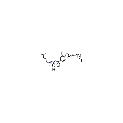 C=CCN(C)C/C=C/COc1ccc(C(=O)CC(O)/C=C(\C)CCC=C(C)C)cc1F